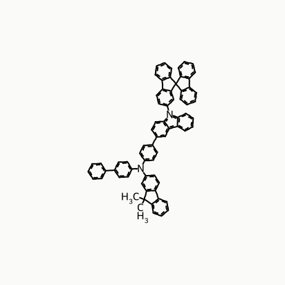 CC1(C)c2ccccc2-c2ccc(N(c3ccc(-c4ccccc4)cc3)c3ccc(-c4ccc5c(c4)c4ccccc4n5-c4ccc5c(c4)C4(c6ccccc6-c6ccccc64)c4ccccc4-5)cc3)cc21